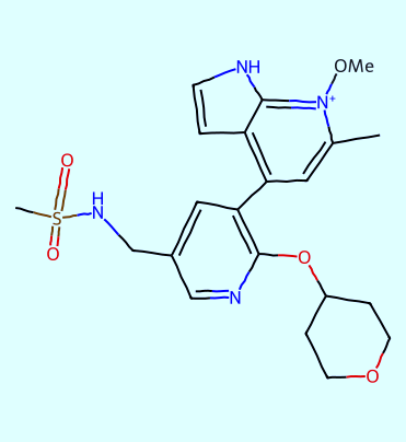 CO[n+]1c(C)cc(-c2cc(CNS(C)(=O)=O)cnc2OC2CCOCC2)c2cc[nH]c21